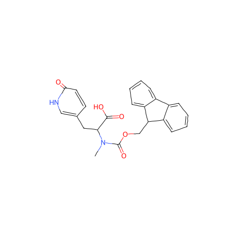 CN(C(=O)OCC1c2ccccc2-c2ccccc21)C(Cc1ccc(=O)[nH]c1)C(=O)O